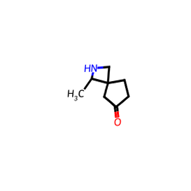 CC1NCC12CCC(=O)C2